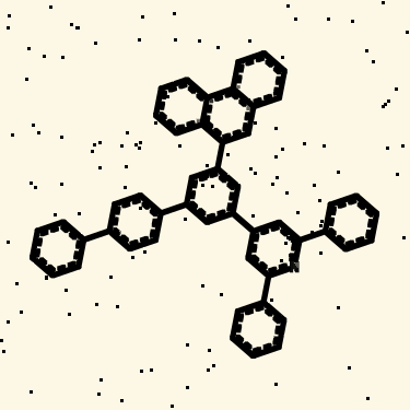 c1ccc(-c2ccc(-c3cc(-c4cc(-c5ccccc5)nc(-c5ccccc5)c4)cc(-c4cc5ccccc5c5ccccc45)c3)cc2)cc1